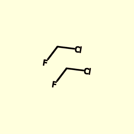 FCCl.FCCl